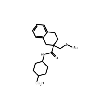 CC(C)(C)SCC1(C(=O)NC2CCC(C(=O)O)CC2)CCc2ccccc2C1